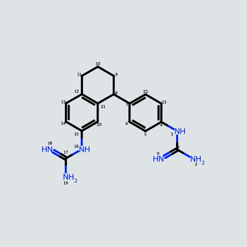 N=C(N)Nc1ccc(C2CCCc3ccc(NC(=N)N)cc32)cc1